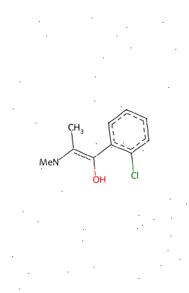 CN/C(C)=C(\O)c1ccccc1Cl